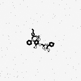 CCCCC1(CC)CN(c2ccccc2)c2cc(OC)c(OCC(=O)N[C@@H](C(=O)OC)c3ccccc3)cc2S(=O)(=O)C1